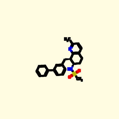 Cc1ccc2c(n1)[C@@H](Cc1cccc(-c3ccccc3)c1)[C@@H](NS(C)(=O)=O)CC2